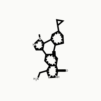 Cn1ncc(-c2ccc3c(=O)[nH]nc(CN)c3c2)c1-c1cc(C2CC2)ccc1C#N